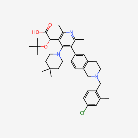 Cc1cc(Cl)ccc1CN1CCc2cc(-c3c(C)nc(C)c([C@H](OC(C)(C)C)C(=O)O)c3N3CCC(C)(C)CC3)ccc2C1